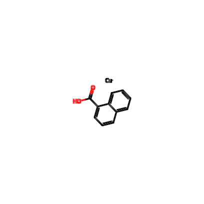 O=C(O)c1cccc2ccccc12.[Cu]